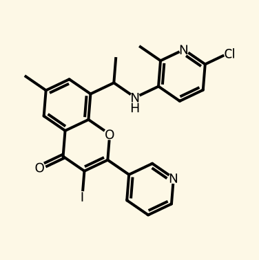 Cc1cc(C(C)Nc2ccc(Cl)nc2C)c2oc(-c3cccnc3)c(I)c(=O)c2c1